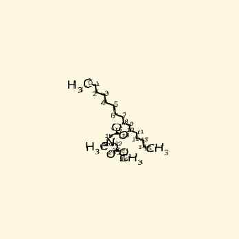 CCCCCCCCC(CCCCCCC)OC(=O)CN(C)CC(=O)OC